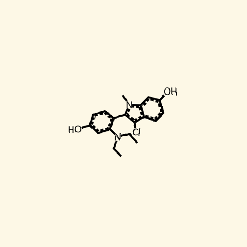 CCN(CC)c1cc(O)ccc1-c1c(Cl)c2ccc(O)cc2n1C